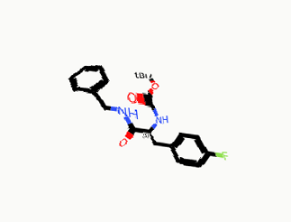 CC(C)(C)OC(=O)N[C@@H](Cc1ccc(F)cc1)C(=O)NCc1ccccc1